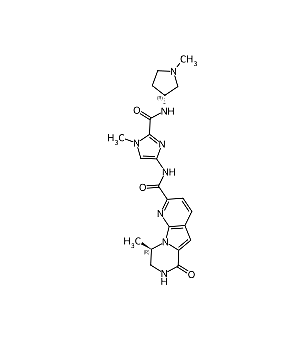 C[C@@H]1CNC(=O)c2cc3ccc(C(=O)Nc4cn(C)c(C(=O)N[C@@H]5CCN(C)C5)n4)nc3n21